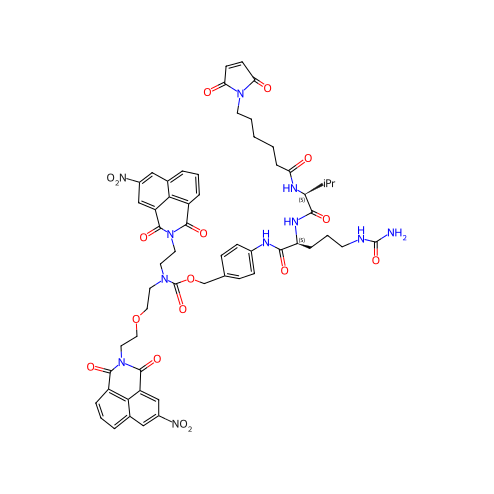 CC(C)[C@H](NC(=O)CCCCCN1C(=O)C=CC1=O)C(=O)N[C@@H](CCCNC(N)=O)C(=O)Nc1ccc(COC(=O)N(CCOCCN2C(=O)c3cccc4cc([N+](=O)[O-])cc(c34)C2=O)CCN2C(=O)c3cccc4cc([N+](=O)[O-])cc(c34)C2=O)cc1